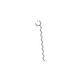 [CH2]CCCCCCCCCCCCCCC(C[CH2])CC